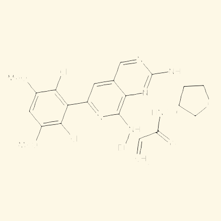 C=CC(=O)N[C@H]1COC[C@H]1Nc1ncc2cc(-c3c(Cl)c(OC)cc(OC)c3Cl)nc(NCC)c2n1